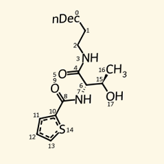 CCCCCCCCCCCCNC(=O)[C@@H](NC(=O)c1cccs1)[C@@H](C)O